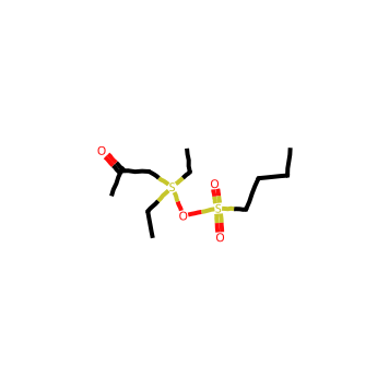 CCCCS(=O)(=O)OS(CC)(CC)CC(C)=O